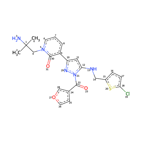 CC(C)(N)Cn1cccc(-c2cc(NCc3ccc(Cl)s3)n(C(=O)c3ccoc3)n2)c1=O